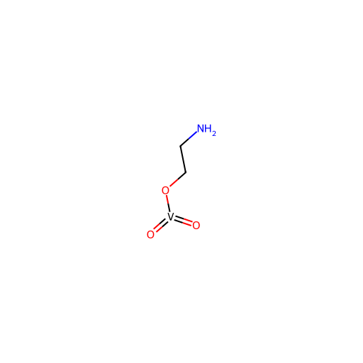 NCC[O][V](=[O])=[O]